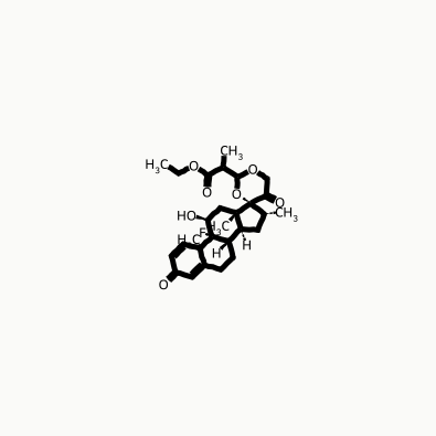 CCOC(=O)C(C)C1OCC(=O)[C@@]2(O1)[C@H](C)C[C@H]1[C@@H]3CCC4=CC(=O)C=C[C@]4(C)[C@@]3(F)[C@@H](O)C[C@@]12C